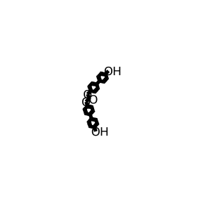 O=C(Oc1ccc(-c2ccc(O)cc2)cc1)Oc1ccc(-c2ccc(O)cc2)cc1